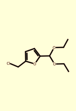 CCOC(OCC)c1ccc(CCl)o1